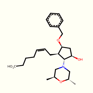 C[C@H]1CN([C@@H]2[C@@H](C/C=C\CCCC(=O)O)[C@@H](OCc3ccccc3)C[C@H]2O)C[C@H](C)O1